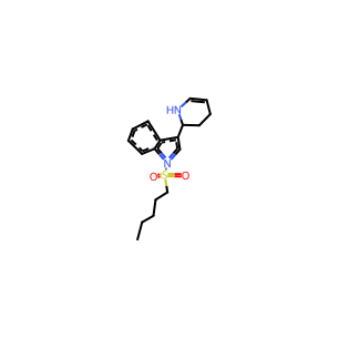 CCCCCS(=O)(=O)n1cc(C2CCC=CN2)c2ccccc21